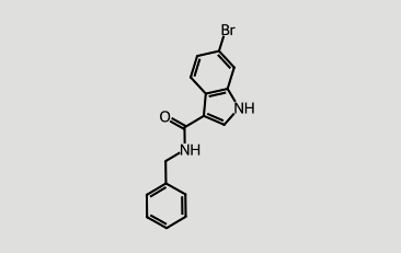 O=C(NCc1ccccc1)c1c[nH]c2cc(Br)ccc12